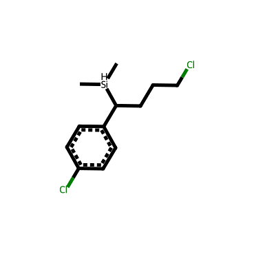 C[SiH](C)C(CCCCl)c1ccc(Cl)cc1